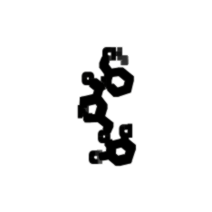 CCC1CCCCN1C(=O)c1cncc(COc2c(Cl)cccc2Cl)c1